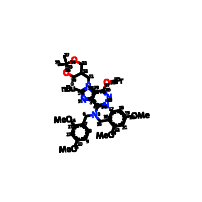 CCCCc1nc2c(N(Cc3ccc(OC)cc3OC)Cc3ccc(OC)cc3OC)nnc(OC(C)C)c2n1CC1COC(C)(C)OC1